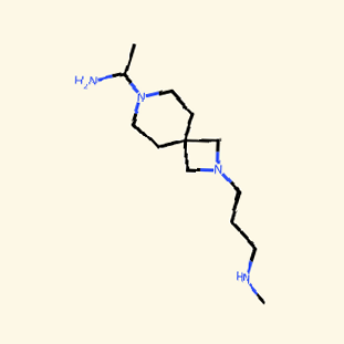 CNCCCN1CC2(CCN(C(C)N)CC2)C1